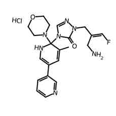 CC1=CC(c2cccnc2)=CNC1(N1CCOCC1)n1cnn(C/C(=C/F)CN)c1=O.Cl